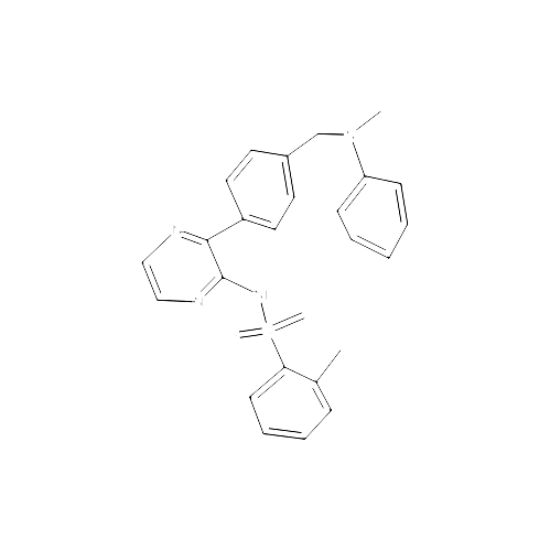 CN(Cc1ccc(-c2nccnc2NS(=O)(=O)c2ccccc2Cl)cc1)c1ccccc1